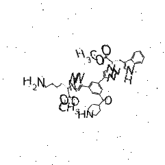 COC(=O)[C@H](CCCCN)n1cc(-c2cc(C(=O)C3CCNCC3)cc(-c3cn([C@@H](Cc4c[nH]c5ccccc45)C(=O)OC)nn3)c2)nn1